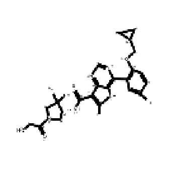 Cc1[nH]c2c(-c3cc(F)ccc3OCC3CC3)ncnc2c1C(=O)N[C@@H]1CN(C(=O)CO)CC1(F)F